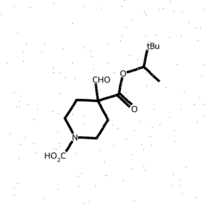 CC(OC(=O)C1(C=O)CCN(C(=O)O)CC1)C(C)(C)C